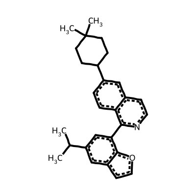 CC(C)c1cc(-c2nccc3cc(C4CCC(C)(C)CC4)ccc23)c2occc2c1